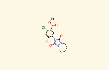 CC(C)OC(=O)c1cc(-n2c(=O)n3n(c2=O)CCCCC3)c(F)cc1Cl